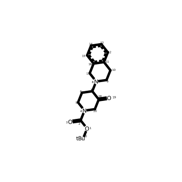 CC(C)(C)OC(=O)N1CCC(N2CCc3ccccc3C2)C(=O)C1